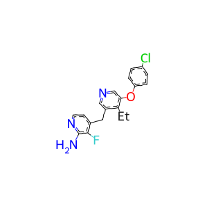 CCc1c(Cc2ccnc(N)c2F)cncc1Oc1ccc(Cl)cc1